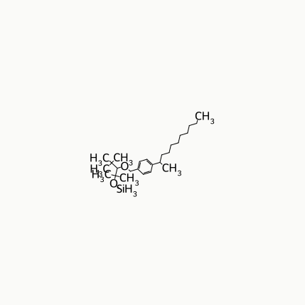 CCCCCCCCCC(C)c1ccc(COC(C(C)(C)C)C(C)(C)O[SiH3])cc1